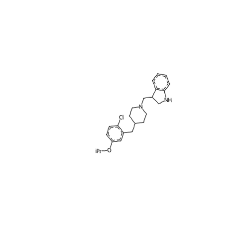 CC(C)Oc1ccc(Cl)c(CC2CCN(CC3CNc4ccccc43)CC2)c1